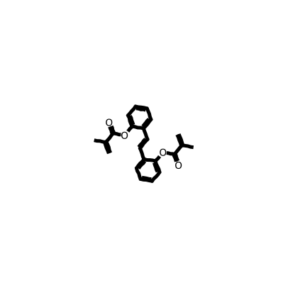 C=C(C)C(=O)Oc1ccccc1C=Cc1ccccc1OC(=O)C(=C)C